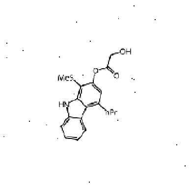 CCCc1cc(OC(=O)CO)c(SC)c2[nH]c3ccccc3c12